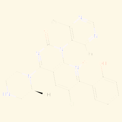 CC(C)c1ncnc(C(C)C)c1-n1c(=O)nc(N2CCNC[C@@H]2C)c2cc(Cl)c(-c3ccccc3O)[n+]([O-])c21